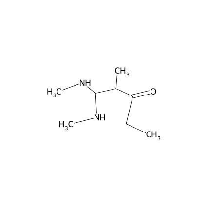 CCC(=O)C(C)C(NC)NC